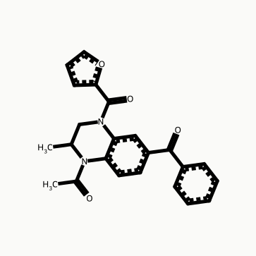 CC(=O)N1c2ccc(C(=O)c3ccccc3)cc2N(C(=O)c2ccco2)CC1C